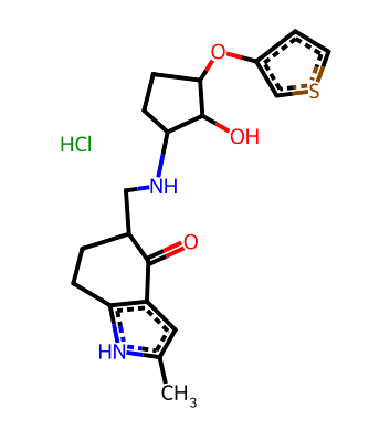 Cc1cc2c([nH]1)CCC(CNC1CCC(Oc3ccsc3)C1O)C2=O.Cl